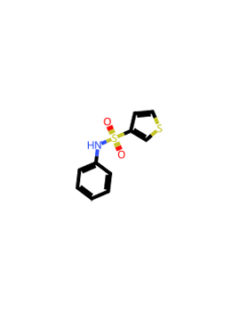 O=S(=O)(Nc1cc[c]cc1)c1ccsc1